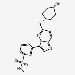 CNS(=O)(=O)c1cccc(-c2cnc3ccc(O[C@H]4CC[C@H](O)CC4)nn23)c1